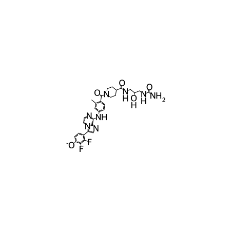 COc1ccc(-c2cnc3c(Nc4ccc(C(=O)N5CCC(C(=O)NCC(O)CNC(N)=O)CC5)c(C)c4)nccn23)c(F)c1F